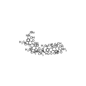 CN(C)c1cc(CNCC(C)(C)C)c(O)c2c1C=C1C[C@H]3[C@H](N(C)C)C(O)=C(C(=O)NC(C)(C)CNCc4cc(N(C)C)c5c(c4O)C(=O)C4=C(O)[C@]6(O)C(=O)C(C(N)=O)=C(O)[C@H](N(C)C)[C@@H]6C[C@@H]4C5)C(=O)[C@@]3(O)C(O)=C1C2=O